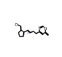 C=C1C=C(CC/C=C/C2=CCCC2CCl)N=CO1